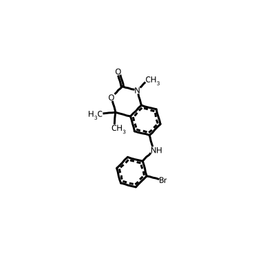 CN1C(=O)OC(C)(C)c2cc(Nc3ccccc3Br)ccc21